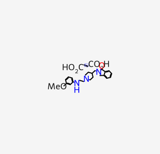 COc1cccc(NCCN2CCC(CN3Cc4ccccc4C3=O)CC2)c1.O=C(O)/C=C/C(=O)O